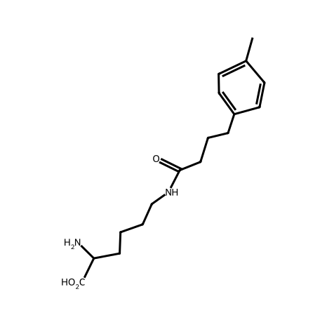 Cc1ccc(CCCC(=O)NCCCCC(N)C(=O)O)cc1